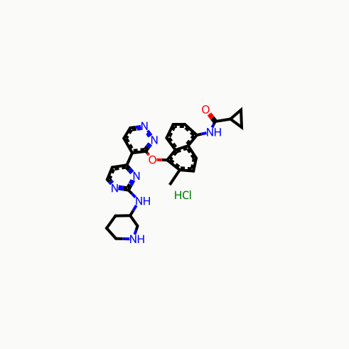 Cc1ccc2c(NC(=O)C3CC3)cccc2c1Oc1nnccc1-c1ccnc(NC2CCCNC2)n1.Cl